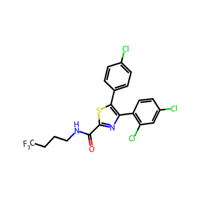 O=C(NCCCC(F)(F)F)c1nc(-c2ccc(Cl)cc2Cl)c(-c2ccc(Cl)cc2)s1